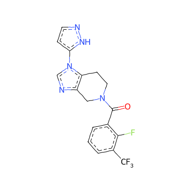 O=C(c1cccc(C(F)(F)F)c1F)N1CCc2c(ncn2-c2ccn[nH]2)C1